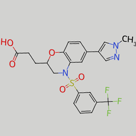 Cn1cc(-c2ccc3c(c2)N(S(=O)(=O)c2cccc(C(F)(F)F)c2)CC(CCC(=O)O)O3)cn1